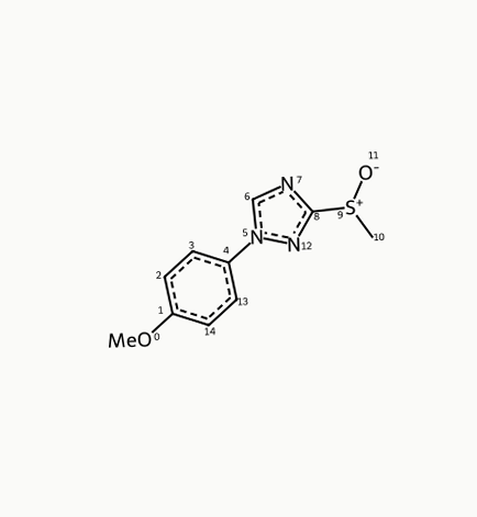 COc1ccc(-n2cnc([S+](C)[O-])n2)cc1